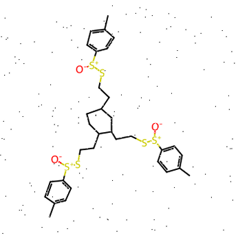 Cc1ccc([S+]([O-])SCCC2CCC(CCS[S+]([O-])c3ccc(C)cc3)C(CCS[S+]([O-])c3ccc(C)cc3)C2)cc1